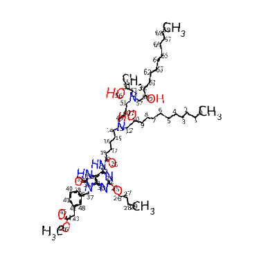 CCCCCCCCCCC(O)CN(CCCCCC(=O)Nc1nc(OCCCC)nc2c1[nH]c(=O)n2Cc1cccc(CC(=O)OC)c1)CCCN(CC(C)O)CC(O)CCCCCCCCCC